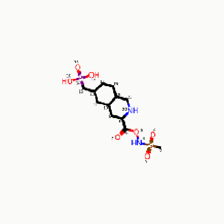 CS(=O)(=O)NOC(=O)C1CC2CC(CP(=O)(O)O)CCC2CN1